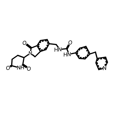 O=C1CCC(N2Cc3cc(CNC(=O)Nc4ccc(Cc5ccncc5)cc4)ccc3C2=O)C(=O)N1